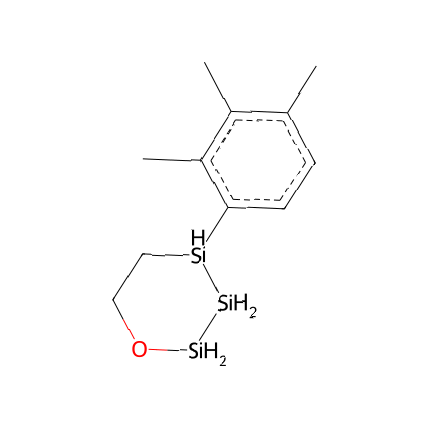 Cc1ccc([SiH]2CCO[SiH2][SiH2]2)c(C)c1C